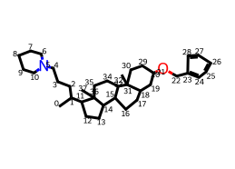 CC(CCCN1CCCCC1)C1CCC2C3CCC4CC(OCc5ccccc5)CCC4(C)C3CCC12C